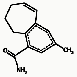 Cc1cc2c(c(C(N)=O)c1)CCCC=C2